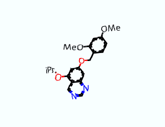 COc1ccc(COc2cc(OC(C)C)c3cncnc3c2)c(OC)c1